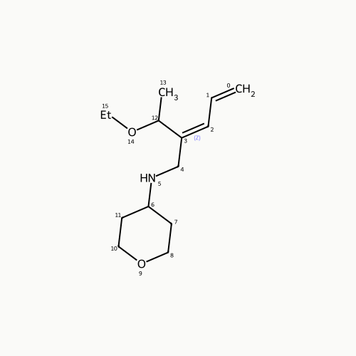 C=C/C=C(/CNC1CCOCC1)C(C)OCC